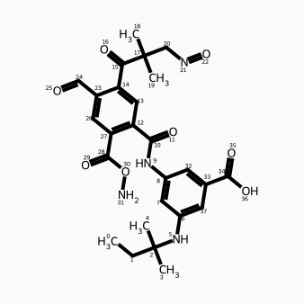 CCC(C)(C)Nc1cc(NC(=O)c2cc(C(=O)C(C)(C)CN=O)c(C=O)cc2C(=O)ON)cc(C(=O)O)c1